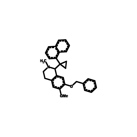 COc1cc2c(cc1OCc1ccccc1)C(C1(c3cccc4ccccc34)CC1)N(C)CC2